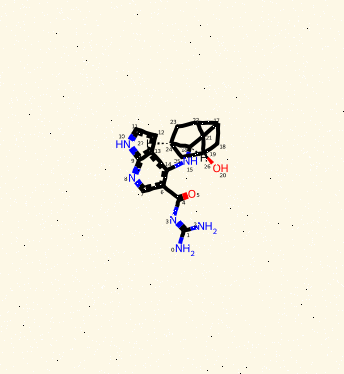 NC(N)=NC(=O)c1cnc2[nH]ccc2c1N[C@@H]1C2C[C@@]3(O)CC2C[C@@H]1C3